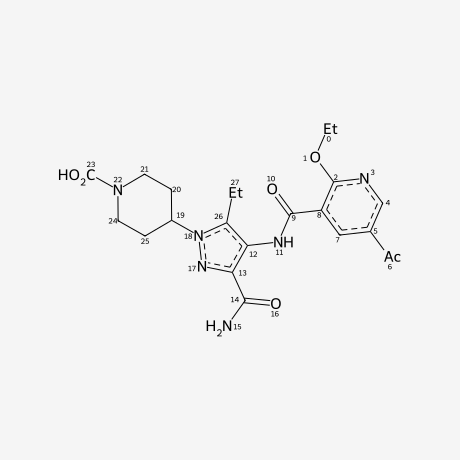 CCOc1ncc(C(C)=O)cc1C(=O)Nc1c(C(N)=O)nn(C2CCN(C(=O)O)CC2)c1CC